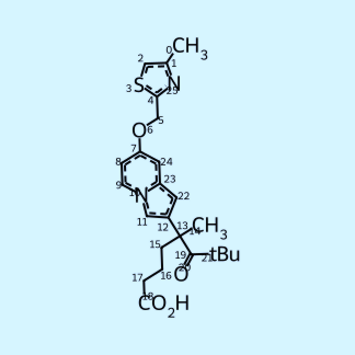 Cc1csc(COc2ccn3cc(C(C)(CCCC(=O)O)C(=O)C(C)(C)C)cc3c2)n1